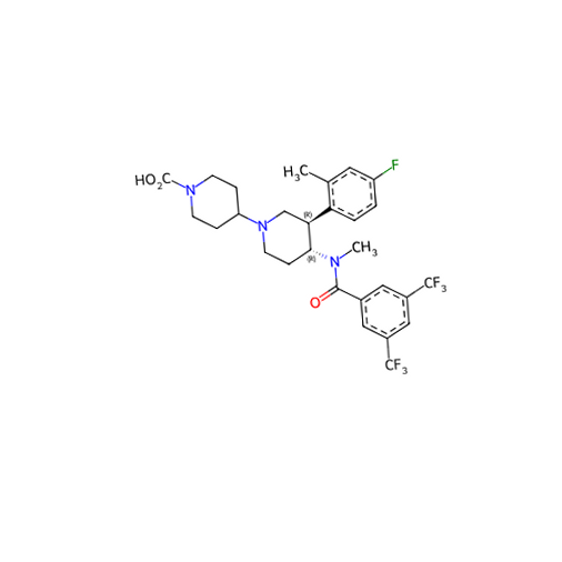 Cc1cc(F)ccc1[C@@H]1CN(C2CCN(C(=O)O)CC2)CC[C@H]1N(C)C(=O)c1cc(C(F)(F)F)cc(C(F)(F)F)c1